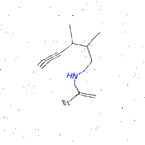 C#CC(C)C(C)CNC(=C)CC